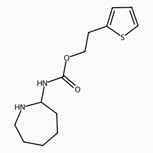 O=C(NC1CCCCCN1)OCCc1cccs1